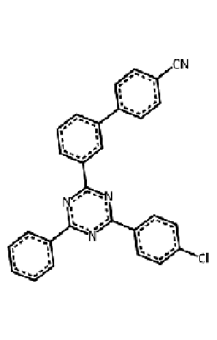 N#Cc1ccc(-c2cccc(-c3nc(-c4ccccc4)nc(-c4ccc(Cl)cc4)n3)c2)cc1